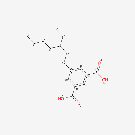 CCCCC(CC)CCc1cc(C(=O)O)cc(C(=O)O)c1